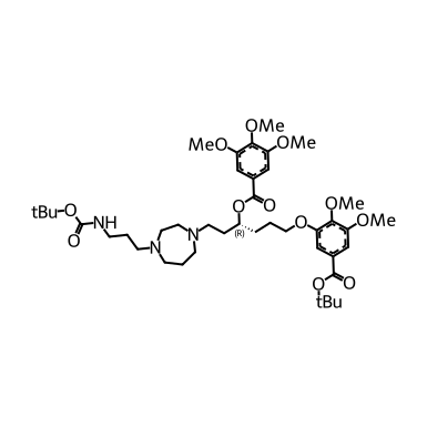 COc1cc(C(=O)O[C@H](CCCOc2cc(C(=O)OC(C)(C)C)cc(OC)c2OC)CCN2CCCN(CCCNC(=O)OC(C)(C)C)CC2)cc(OC)c1OC